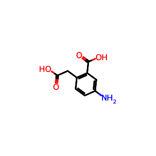 Nc1ccc(CC(=O)O)c(C(=O)O)c1